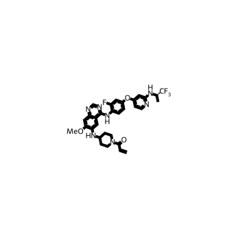 C=CC(=O)N1CCC(Nc2cc3c(Nc4ccc(Oc5ccnc(N[C@@H](C)C(F)(F)F)c5)cc4F)ncnc3cc2OC)CC1